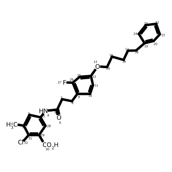 Cc1cc(NC(=O)CCc2ccc(OCCCCCc3ccccc3)cc2F)cc(C(=O)O)c1Cl